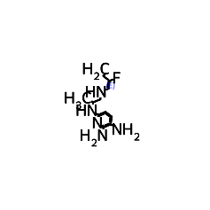 C=C/C(F)=C\NCC(C)Nc1ccc(N)c(N)n1